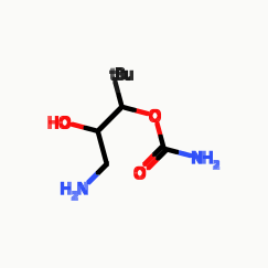 CC(C)(C)C(OC(N)=O)C(O)CN